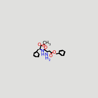 COC(=O)[C@H](Cc1ccccc1)NC(=O)[C@@H](N)CC(=O)OCc1ccccc1